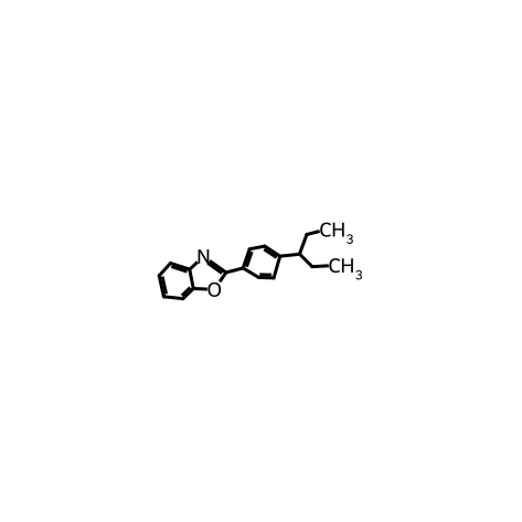 CCC(CC)c1ccc(-c2nc3ccccc3o2)cc1